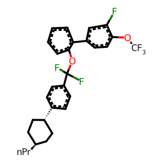 CCC[C@H]1CC[C@H](c2ccc(C(F)(F)Oc3ccccc3-c3ccc(OC(F)(F)F)c(F)c3)cc2)CC1